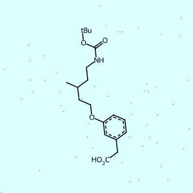 CC(CCNC(=O)OC(C)(C)C)CCOc1cccc(CC(=O)O)c1